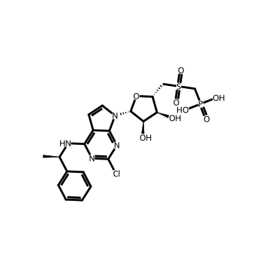 C[C@@H](Nc1nc(Cl)nc2c1ccn2[C@@H]1O[C@H](CS(=O)(=O)CP(=O)(O)O)[C@@H](O)[C@H]1O)c1ccccc1